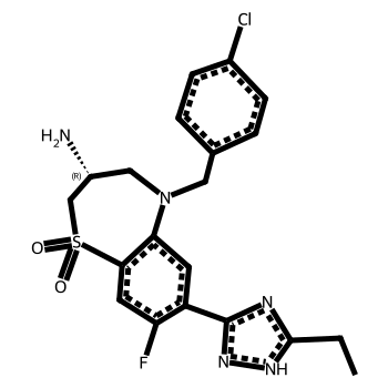 CCc1nc(-c2cc3c(cc2F)S(=O)(=O)C[C@H](N)CN3Cc2ccc(Cl)cc2)n[nH]1